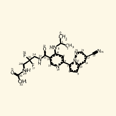 CC(C)Nc1cc(-c2ccc3cc(C#N)cnn23)ncc1C(=O)NCC(F)(F)CNC(=O)O